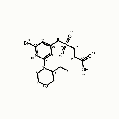 CCC1COCCN1c1cc(CS(=O)(=O)CCC(=O)O)cc(Br)n1